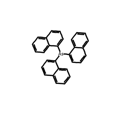 c1ccc2c([As](c3cccc4ccccc34)c3cccc4ccccc34)cccc2c1